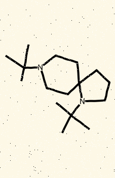 CC(C)(C)N1CCC2(CCCN2C(C)(C)C)CC1